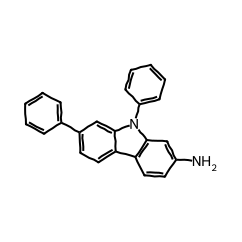 Nc1ccc2c3ccc(-c4ccccc4)cc3n(-c3ccccc3)c2c1